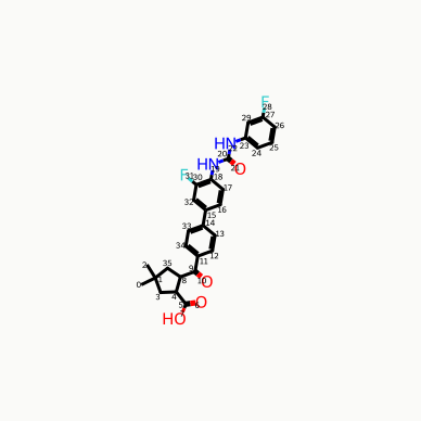 CC1(C)CC(C(=O)O)C(C(=O)c2ccc(-c3ccc(NC(=O)Nc4cccc(F)c4)c(F)c3)cc2)C1